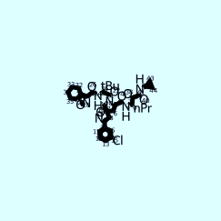 CCC[C@H](NC(=O)C1CC2(CC(c3cccc(Cl)c3)=NO2)CN1C(=O)[C@@H](NC(=O)c1noc2c1CCCC2)C(C)(C)C)C(=O)C(=O)NC1CC1